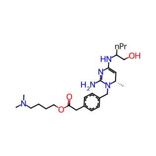 CCCC(CO)NC1=C[C@H](C)N(Cc2ccc(CC(=O)OCCCCN(C)C)cc2)C(N)=N1